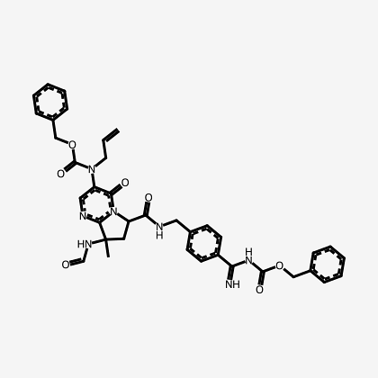 C=CCN(C(=O)OCc1ccccc1)c1cnc2n(c1=O)C(C(=O)NCc1ccc(C(=N)NC(=O)OCc3ccccc3)cc1)CC2(C)NC=O